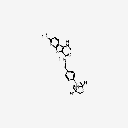 CNc1ccc2c(NC)c(C(=O)NCCc3ccc(N4C[C@H]5CC[C@@H](C4)N5)cc3)sc2n1